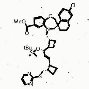 COC(=O)c1ccc2c(c1)N(C[C@@H]1CC[C@H]1[C@H](/C=C/[C@H]1CC[C@@H]1CSc1ncccn1)O[Si](C)(C)C(C)(C)C)C[C@@]1(CCCc3cc(Cl)ccc31)CO2